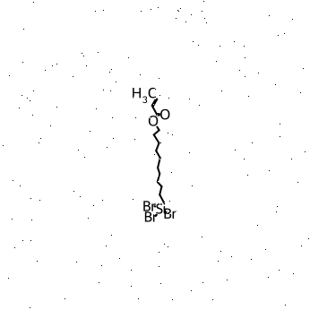 CC=CC(=O)OCCCCCCCCCCC[Si](Br)(Br)Br